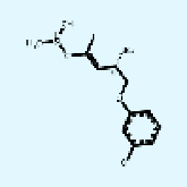 C[SiH](C)OC(I)=C[C@@H](COc1cccc(Cl)c1)C(C)(C)C